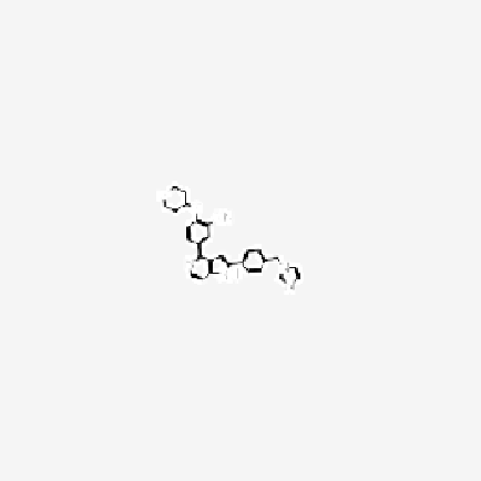 N#Cc1cc(-c2nccc3[nH]c(-c4ccc(Cn5ccnc5)cc4)cc23)ccc1OC1CCOCC1